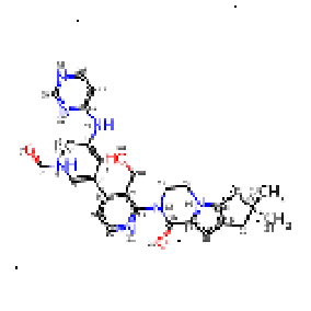 C/C(=C\C(=C/NC=O)c1ccnc(N2CCn3c(cc4c3CC(C)(C)C4)C2=O)c1CO)Nc1ccncn1